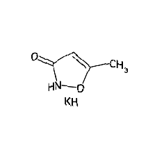 Cc1cc(=O)[nH]o1.[KH]